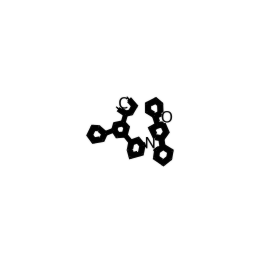 c1ccc(-c2cc(-c3ccccc3)cc(-c3cccc(-n4c5ccccc5c5cc6oc7ccccc7c6cc54)c3)c2)cc1